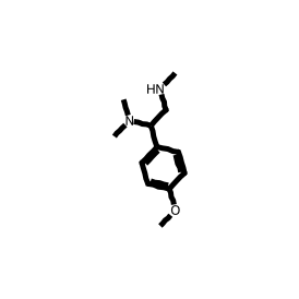 CNCC(c1ccc(OC)cc1)N(C)C